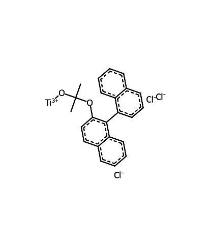 CC(C)([O][Ti+3])Oc1ccc2ccccc2c1-c1cccc2ccccc12.[Cl-].[Cl-].[Cl-]